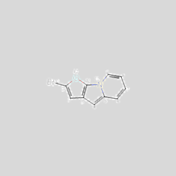 CCc1cc2cc3ccccn3c2o1